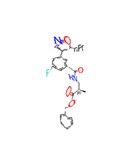 CCCc1oncc1-c1cc(F)cc(C(=O)NC[C@@H](C)C(=O)OCc2ccccc2)c1